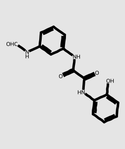 O=CNc1cccc(NC(=O)C(=O)Nc2ccccc2O)c1